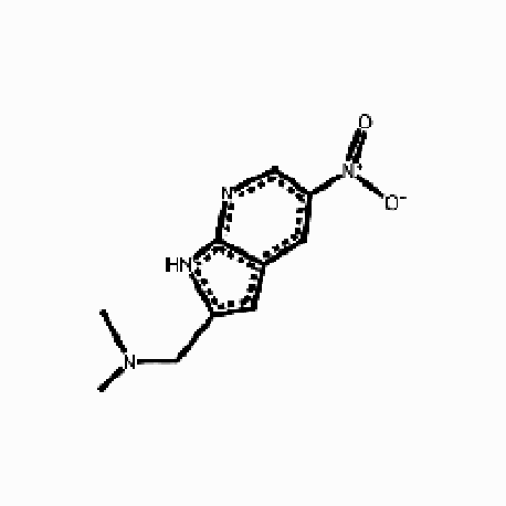 CN(C)Cc1cc2cc([N+](=O)[O-])cnc2[nH]1